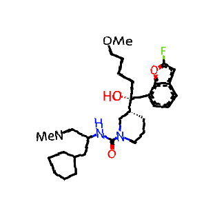 CNCC(CC1CCCCC1)NC(=O)N1CCC[C@@H]([C@@](O)(CCCCOC)c2cccc3cc(F)oc23)C1